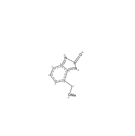 COCc1cccc2c1=NC(=O)N=2